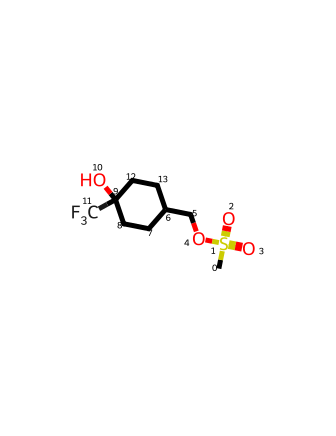 CS(=O)(=O)OCC1CCC(O)(C(F)(F)F)CC1